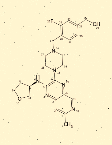 Cc1cc2nc(N[C@@H]3CCOC3)c(N3CCN(Cc4ccc(CO)cc4F)CC3)nc2cn1